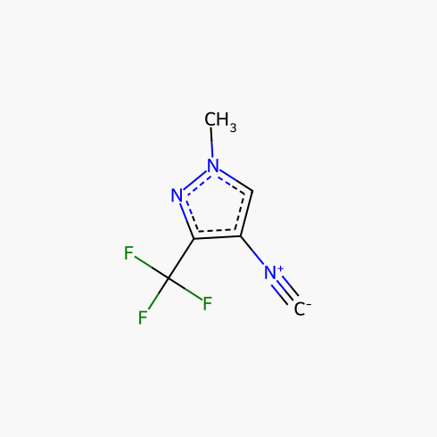 [C-]#[N+]c1cn(C)nc1C(F)(F)F